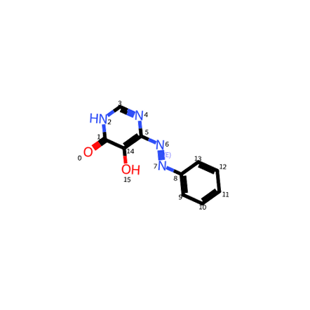 O=c1[nH]cnc(/N=N/c2ccccc2)c1O